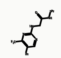 CCCNC(=O)CNc1ncc(C(C)C)c(C(F)(F)F)n1